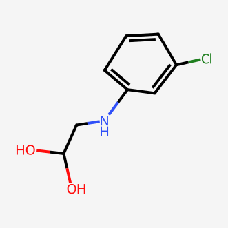 OC(O)CNc1cccc(Cl)c1